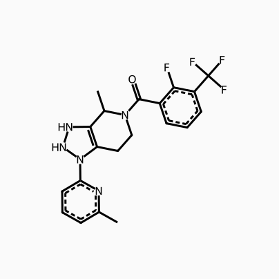 Cc1cccc(N2NNC3=C2CCN(C(=O)c2cccc(C(F)(F)F)c2F)C3C)n1